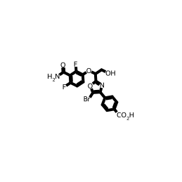 NC(=O)c1c(F)ccc(OC(CO)c2nc(-c3ccc(C(=O)O)cc3)c(Br)o2)c1F